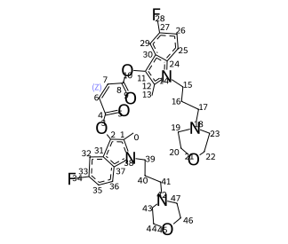 Cc1c(OC(=O)/C=C\C(=O)Oc2c(C)n(CCCN3CCOCC3)c3ccc(F)cc23)c2cc(F)ccc2n1CCCN1CCOCC1